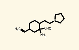 C=CC1CCC(CCN2CCCC2)C(N)(C=O)C1